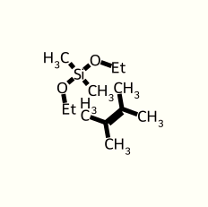 CC(C)=C(C)C.CCO[Si](C)(C)OCC